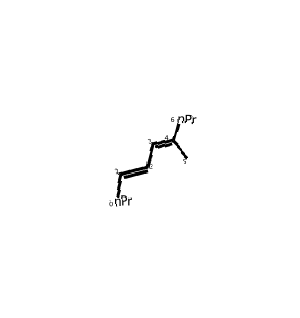 CCCC=C[C]=C(C)CCC